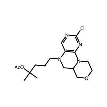 CC(=O)OC(C)(C)CCCN1CC2COCCN2c2nc(Cl)ncc21